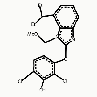 CCC(CC)c1cccc2nc(Oc3ccc(Cl)c(C)c3Cl)n(COC)c12